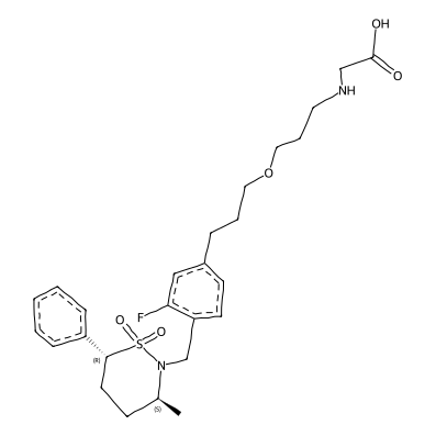 C[C@H]1CC[C@H](c2ccccc2)S(=O)(=O)N1Cc1ccc(CCCOCCCNCC(=O)O)cc1F